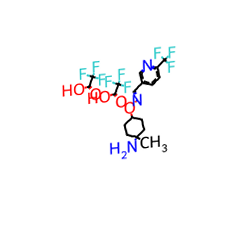 CC1(N)CCC(ON=Cc2ccc(C(F)(F)F)nc2)CC1.O=C(O)C(F)(F)F.O=C(O)C(F)(F)F